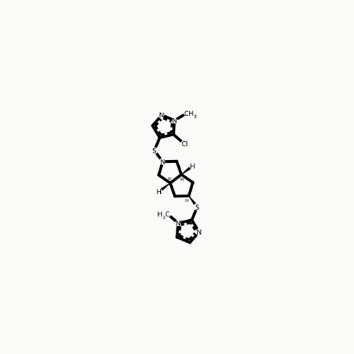 Cn1ccnc1S[C@H]1C[C@@H]2CN(Sc3cnn(C)c3Cl)C[C@@H]2C1